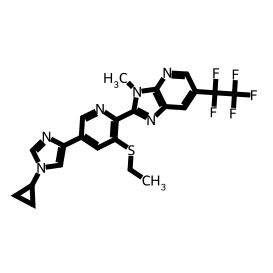 CCSc1cc(-c2cn(C3CC3)cn2)cnc1-c1nc2cc(C(F)(F)C(F)(F)F)cnc2n1C